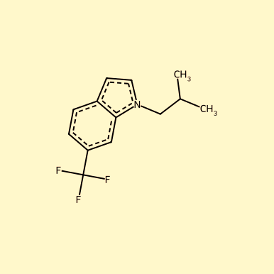 CC(C)Cn1ccc2ccc(C(F)(F)F)cc21